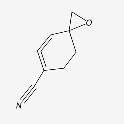 N#CC1=C=CC2(CC1)CO2